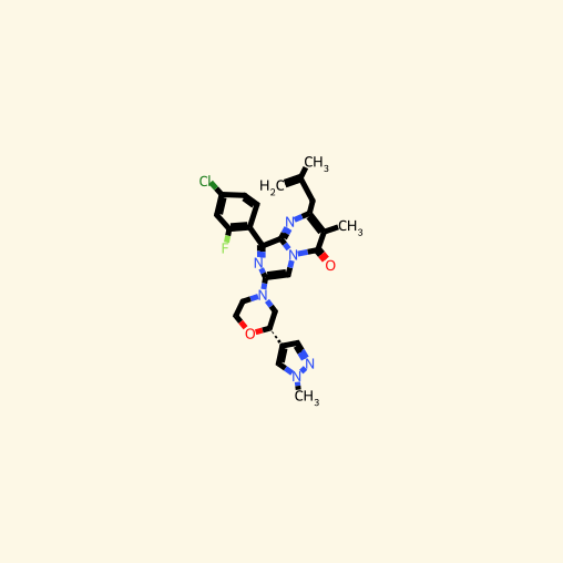 C=C(C)Cc1nc2c(-c3ccc(Cl)cc3F)nc(N3CCO[C@@H](c4cnn(C)c4)C3)cn2c(=O)c1C